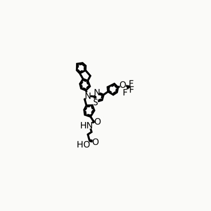 O=C(O)CCNC(=O)c1ccc(CN(c2ccc3c(c2)Cc2ccccc2-3)c2nc(-c3ccc(OC(F)(F)F)cc3)cs2)cc1